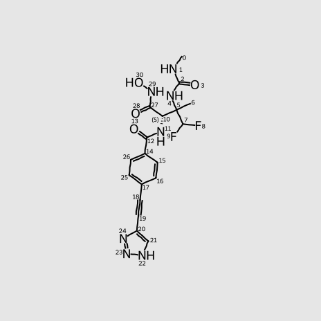 CNC(=O)NC(C)(C(F)F)[C@H](NC(=O)c1ccc(C#Cc2c[nH]nn2)cc1)C(=O)NO